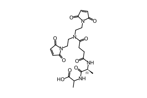 CC(NC(=O)[C@H](C)NC(=O)CCC(=O)N(CCN1C(=O)C=CC1=O)CCN1C(=O)C=CC1=O)C(=O)O